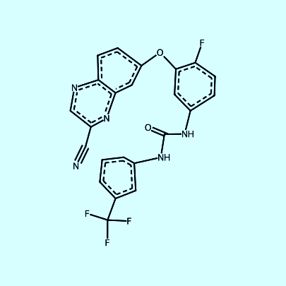 N#Cc1cnc2ccc(Oc3cc(NC(=O)Nc4cccc(C(F)(F)F)c4)ccc3F)cc2n1